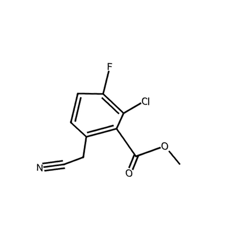 COC(=O)c1c(CC#N)ccc(F)c1Cl